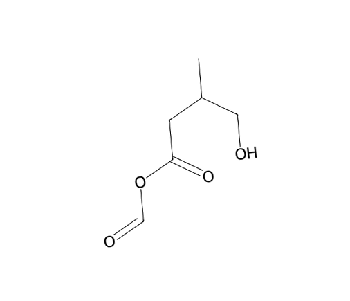 CC(CO)CC(=O)OC=O